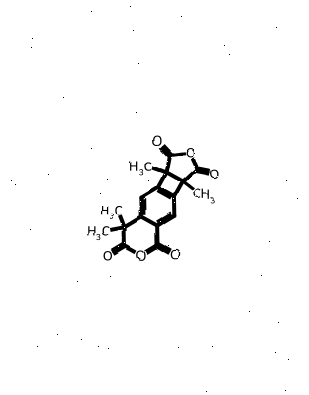 CC1(C)C(=O)OC(=O)c2cc3c(cc21)C1(C)C(=O)OC(=O)C31C